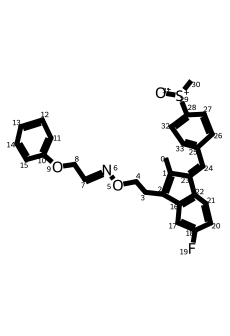 CC1=C(CCON=CCOc2ccccc2)c2cc(F)ccc2C1=Cc1ccc([S+](C)[O-])cc1